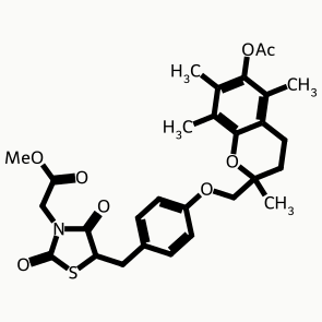 COC(=O)CN1C(=O)SC(Cc2ccc(OCC3(C)CCc4c(C)c(OC(C)=O)c(C)c(C)c4O3)cc2)C1=O